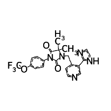 CC1(C)C(=O)N(c2ccc(OC(F)(F)F)cc2)C(=O)N1Cc1ccncc1-c1ncc[nH]1